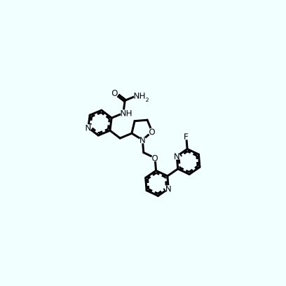 NC(=O)Nc1ccncc1CC1CCON1COc1cccnc1-c1cccc(F)n1